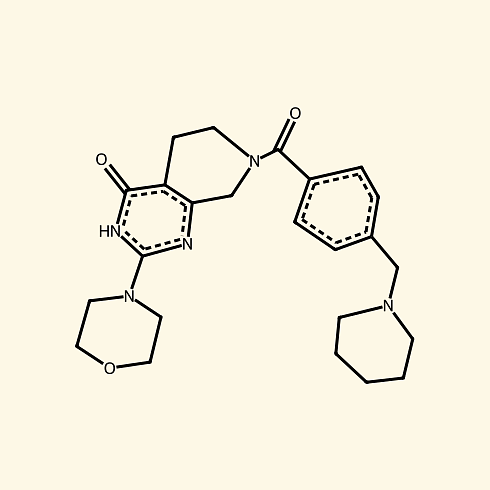 O=C(c1ccc(CN2CCCCC2)cc1)N1CCc2c(nc(N3CCOCC3)[nH]c2=O)C1